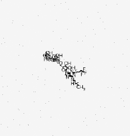 CSCCNc1nc(SCCC(F)(F)F)nc2c1ncn2[C@@H]1O[C@H](COOOP(=O)(O)OP(=O)(O)CP(=O)(O)O)[C@@H](O)[C@H]1O